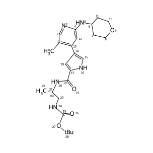 Cc1cnc(NC2CCOCC2)cc1-c1c[nH]c(C(=O)N[C@@H](C)CNC(=O)OC(C)(C)C)c1